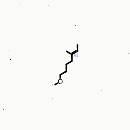 [CH2]OCCCC/C(C)=C/C